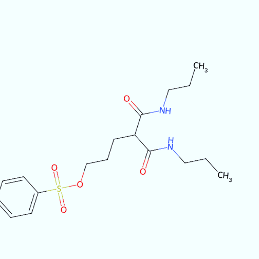 CCCNC(=O)C(CCCOS(=O)(=O)c1ccccc1)C(=O)NCCC